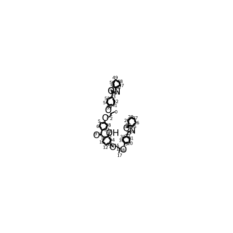 CC(COc1ccc(C(=O)c2ccc(OCC(C)Oc3ccc(-c4nc5ccccc5o4)cc3)cc2O)cc1)Oc1ccc(-c2nc3ccccc3o2)cc1